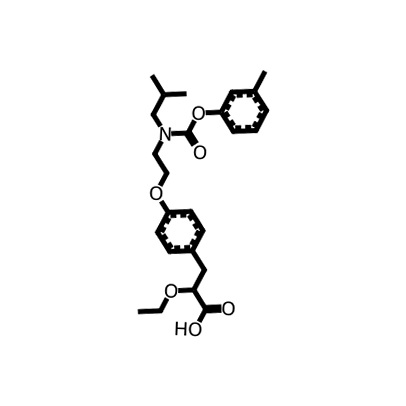 CCOC(Cc1ccc(OCCN(CC(C)C)C(=O)Oc2cccc(C)c2)cc1)C(=O)O